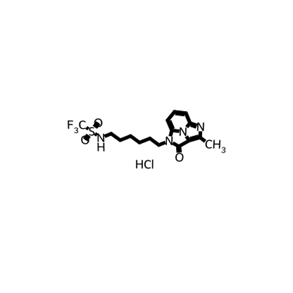 Cc1nc2cccc3n(CCCCCCNS(=O)(=O)C(F)(F)F)c(=O)c1n23.Cl